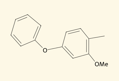 COc1cc(Oc2ccccc2)ccc1C